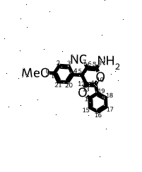 COc1ccc(C2C(C#N)=C(N)Oc3c2oc2ccccc32)cc1